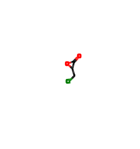 O=C1OC1CCl